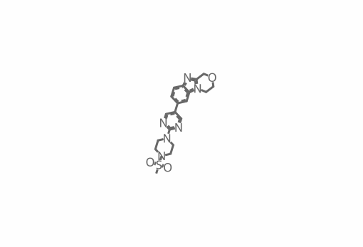 CS(=O)(=O)N1CCN(c2ncc(-c3ccc4nc5n(c4c3)CCOC5)cn2)CC1